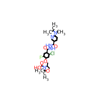 CC(C)N(C)c1ccc(C(=O)NNC(=O)c2cc(F)c(OCC3COC(C)(C)N3C(=O)O)cc2Cl)cn1